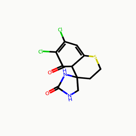 O=C1NCC2(CCSC3=CC(Cl)=C(Cl)C(=O)C32)N1